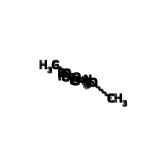 CCCCCCCCCCCCOc1cnc(-c2ccc(C(=O)Oc3ccc(C(=O)O[C@H](CCCCCC)C(F)(F)F)cc3C)cc2)nc1